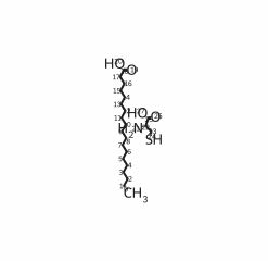 CCCCCCCCCCCCCCCCCCC(=O)O.N[C@@H](CS)C(=O)O